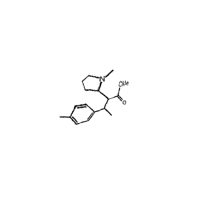 COC(=O)C(C(C)c1ccc(C)cc1)C1CCCN1C